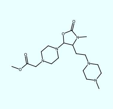 COC(=O)CN1CCN(C2OC(=O)N(C)C2CCN2CCN(C)CC2)CC1